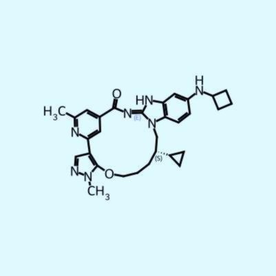 Cc1cc2cc(n1)-c1cnn(C)c1OCCC[C@@H](C1CC1)CN1/C(=N/C2=O)Nc2cc(NC3CCC3)ccc21